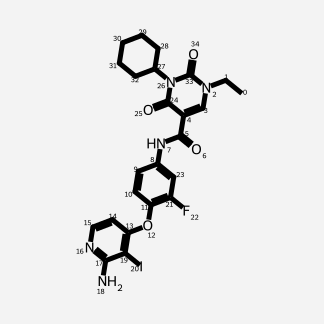 CCn1cc(C(=O)Nc2ccc(Oc3ccnc(N)c3I)c(F)c2)c(=O)n(C2CCCCC2)c1=O